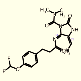 C=C(CCc1ccc(OC(F)F)cc1)/N=C1\C(=C/N)NC(=O)N1C(=O)N(C)C